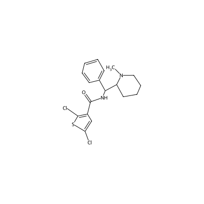 CN1CCCCC1C(NC(=O)c1cc(Cl)sc1Cl)c1ccccc1